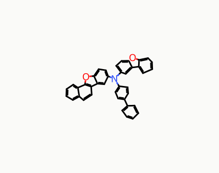 c1ccc(-c2ccc(N(c3ccc4oc5ccccc5c4c3)c3ccc4oc5c6ccccc6ccc5c4c3)cc2)cc1